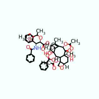 CCC(Br)C(C)O[C@@H](C(=O)O[C@H]1C[C@@]2(O)[C@@H](OC(=O)c3ccccc3)[C@@H]3[C@]4(OC(C)=O)CO[C@@H]4C[C@H](O)[C@@]3(C)C(=O)[C@H](OC(C)=O)C(=C1C)C2(C)C)[C@@H](NC(=O)c1ccccc1)c1ccccc1